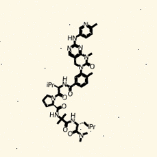 Cc1ccc(Nc2ncc3c(n2)N(C)C(=O)N(c2cc(C(=O)N[C@@H](C(=O)N4CCC[C@@H]4C(=O)NC(C)(C)C(=O)N[C@H](CC(C)C)C(=O)N(C)C)C(C)C)ccc2C)C3)cn1